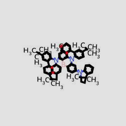 Cc1cc2c3c(c1)N(c1ccc(C(C)(C)C)cc1-c1ccccc1)c1cc4c(cc1B3c1ccc(N3c5ccccc5C5(C)CCC35C)cc1N2c1ccc(C(C)(C)C)cc1-c1ccccc1)CC(C)(C)C4